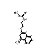 CC(C)(C)OC(=O)NCCOc1cc([N+](=O)[O-])c2ncccc2c1